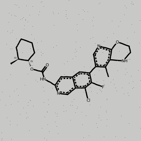 Cc1c(-c2cc3cc(NC(=O)O[C@H]4CCCC[C@@H]4C)ncc3c(Cl)c2F)cnc2c1NCCO2